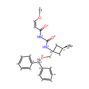 CCO/C=C\C(=O)NC(=O)N[C@]1(CO[SiH](c2ccccc2)c2ccccc2)C[C@H](C(C)(C)C)C1